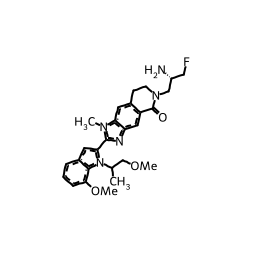 COCC(C)n1c(-c2nc3cc4c(cc3n2C)CCN(C[C@H](N)CF)C4=O)cc2cccc(OC)c21